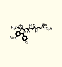 COc1ccc2c(c1)C(c1ccc(Cl)cc1)=N[C@@H](CC(=O)NCC(=O)NCCN(C(=O)O)C(C)(C)C)c1nnc(C)n1-2